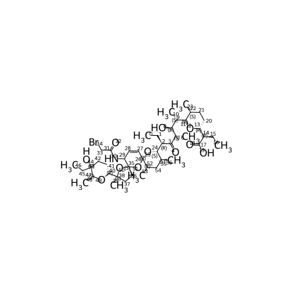 CC[C@@H](C(=O)[C@@H](C)[C@@H](O)[C@H](C)[C@@H]1O[C@@H]([C@@H](CC)C(=O)O)CC[C@@H]1C)[C@H]1O[C@]2(C=CC(NC(=O)CBr)[C@]3(CC[C@@](C)([C@H]4CC[C@](O)(CC)[C@H](C)O4)O3)O2)[C@H](C)C[C@@H]1C